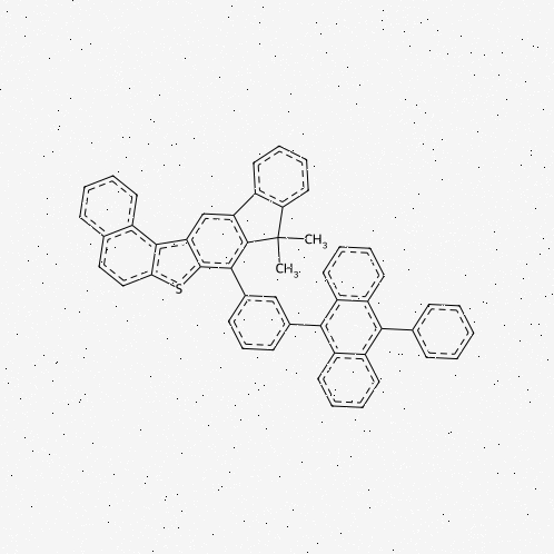 CC1(C)c2ccccc2-c2cc3c(sc4ccc5ccccc5c43)c(-c3cccc(-c4c5ccccc5c(-c5ccccc5)c5ccccc45)c3)c21